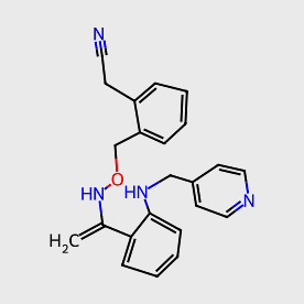 C=C(NOCc1ccccc1CC#N)c1ccccc1NCc1ccncc1